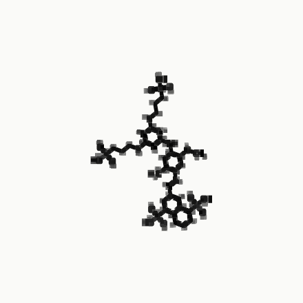 COc1cc(N=Nc2cc(S(=O)(=O)O)c3cccc(S(=O)(=O)O)c3c2)c(C)cc1Nc1nc(SCCCS(=O)(=O)O)nc(SCCCS(=O)(=O)O)n1